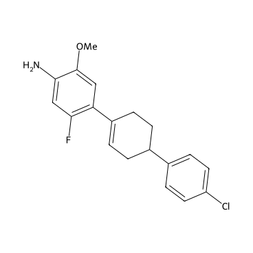 COc1cc(C2=CCC(c3ccc(Cl)cc3)CC2)c(F)cc1N